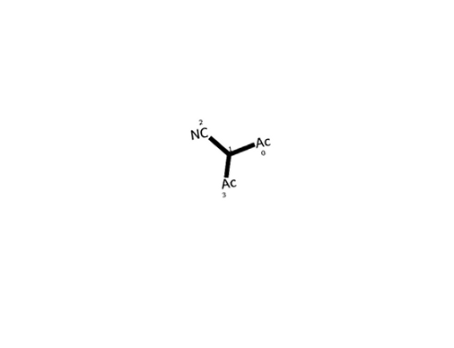 CC(=O)C(C#N)C(C)=O